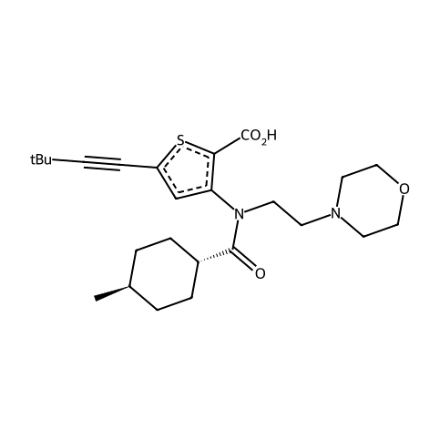 CC(C)(C)C#Cc1cc(N(CCN2CCOCC2)C(=O)[C@H]2CC[C@H](C)CC2)c(C(=O)O)s1